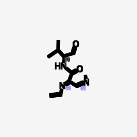 C=C/N=C(\C=N/C)C(=O)N[C@H](C=O)C(C)C